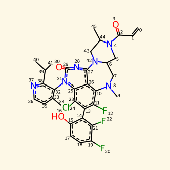 C=CC(=O)N1CC2CN(C)c3c(F)c(-c4c(O)ccc(F)c4F)c(Cl)c4c3c(nc(=O)n4-c3c(C)ccnc3C(C)C)N2CC1C